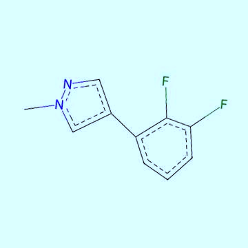 Cn1cc(-c2cccc(F)c2F)cn1